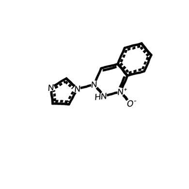 [O-][N+]1=c2ccccc2=CN(n2ccnc2)N1